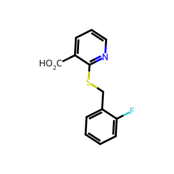 O=C(O)c1cccnc1SCc1ccccc1F